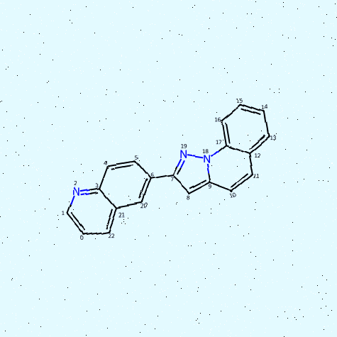 c1cnc2ccc(-c3cc4ccc5ccccc5n4n3)cc2c1